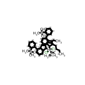 CCCCC1=Cc2c(-c3ccccc3[Si](C)(C)C)cccc2[CH]1[Hf]([Cl])([Cl])([CH]1C(CCCC)=Cc2c(-c3ccccc3[Si](C)(C)C)cccc21)[SiH](C)C